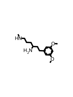 CNCCCC(N)CCc1cc(OC)cc(OC)c1